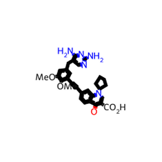 COc1cc(Cc2cnc(N)nc2N)cc(C#Cc2ccc3c(=O)c(C(=O)O)cn(C4CCCC4)c3c2)c1OC